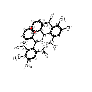 Cc1cc([N+](=O)[O-])c(C(OC(c2ccccc2)c2c([N+](=O)[O-])cc(C)c(C)c2[N+](=O)[O-])c2ccccc2)c([N+](=O)[O-])c1C